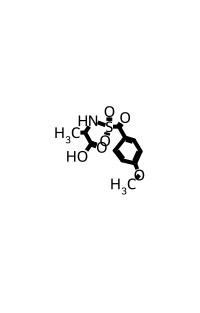 COc1ccc(C(=O)S(=O)(=O)NC(C)C(=O)O)cc1